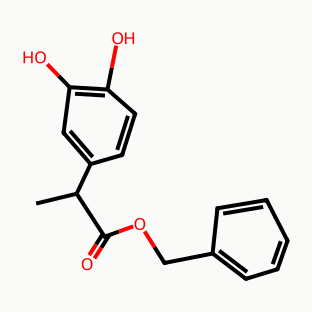 CC(C(=O)OCc1ccccc1)c1ccc(O)c(O)c1